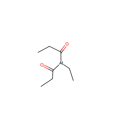 CC[C](=O)[Al]([CH2]C)[C](=O)CC